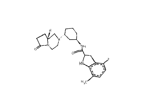 Cc1ccc(F)c2c1NC(C(=O)N[C@@H]1CCC[C@@H](N3CCN4C(=O)CC[C@@H]4C3)C1)C2